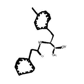 Cc1ccc(C[C@H](NC(=O)Cc2ccccc2)B(O)O)cc1